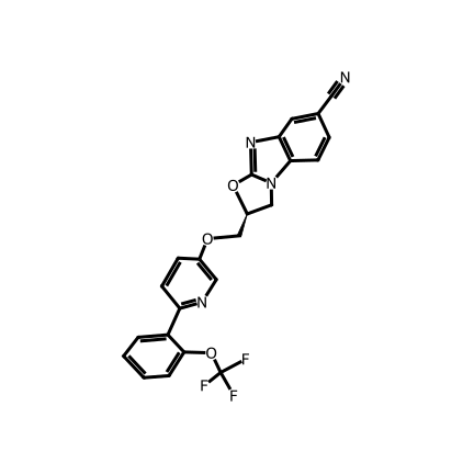 N#Cc1ccc2c(c1)nc1n2C[C@@H](COc2ccc(-c3ccccc3OC(F)(F)F)nc2)O1